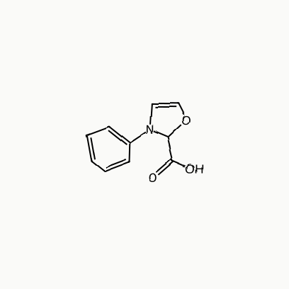 O=C(O)C1OC=CN1c1ccccc1